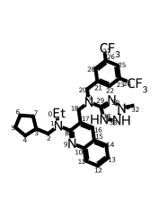 CCN(CC1CCCC1)c1nc2ccccc2cc1CN(Cc1cc(C(F)(F)F)cc(C(F)(F)F)c1)C1=NN(C)NN1